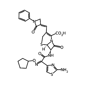 Nc1nc(/C(=N/OC2CCCC2)C(=O)N[C@@H]2C(=O)N3C(C(=O)O)=C(/C=C4/CN(c5ccccc5)C4=O)CS[C@H]23)cs1